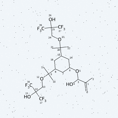 C=C(C)C(O)OC1CC(C(C)(C)OCC(O)(C(F)(F)F)C(F)(F)F)CC(C(C)(C)OCC(O)(C(F)(F)F)C(F)(F)F)C1